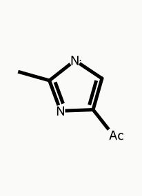 CC(=O)C1=C[N]C(C)=N1